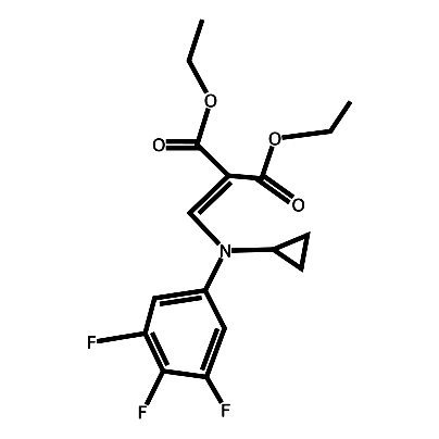 CCOC(=O)C(=CN(c1cc(F)c(F)c(F)c1)C1CC1)C(=O)OCC